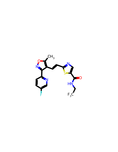 Cc1onc(-c2ccc(F)cn2)c1/C=C/c1ncc(C(=O)NCC(F)(F)F)s1